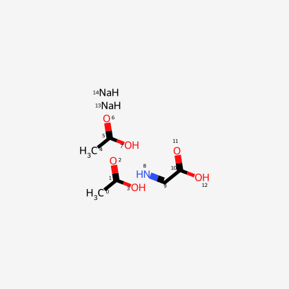 CC(=O)O.CC(=O)O.N=CC(=O)O.[NaH].[NaH]